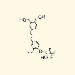 CCc1cc(CCCc2ccc(CO)c(CO)c2)ccc1OCC(O)C(F)(F)F